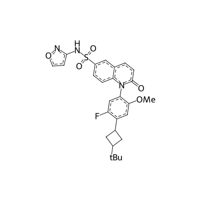 COc1cc(C2CC(C(C)(C)C)C2)c(F)cc1-n1c(=O)ccc2cc(S(=O)(=O)Nc3ccon3)ccc21